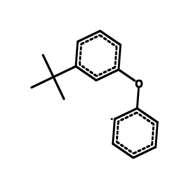 CC(C)(C)c1cccc(Oc2[c]cccc2)c1